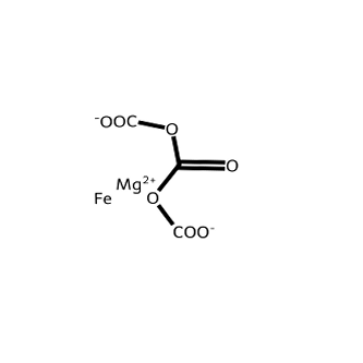 O=C([O-])OC(=O)OC(=O)[O-].[Fe].[Mg+2]